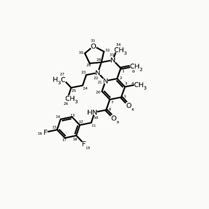 C=C1c2c(C)c(=O)c(C(=O)NCc3ccc(F)cc3F)cn2N(CCC(C)C)C2(CCOC2)N1C